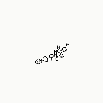 Cc1c(C(=O)Nc2ccc([C@H]3CC[C@H](N4CCOCC4)CC3)nc2)cnn1-c1ccc(C2CC2)cc1